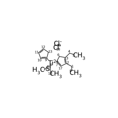 CCC1=C(CC)C[C]([Ti+2]([C]2=CC=CC2)=[Si](C)C)=C1.[Cl-].[Cl-]